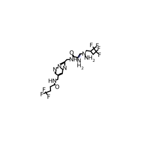 N/C(=C\N(N)CC1CC(F)(F)C1(F)F)C(=O)NCc1cn2ncc(CNC(=O)CCC(F)(F)F)cc2n1